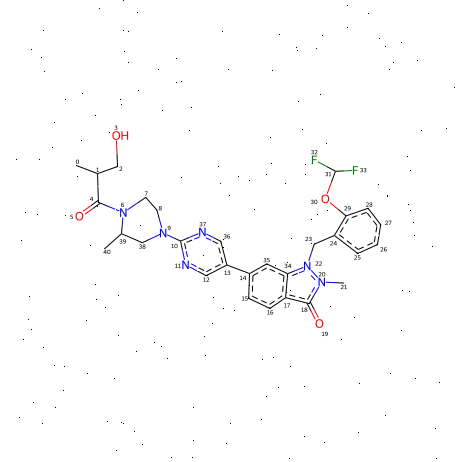 CC(CO)C(=O)N1CCN(c2ncc(-c3ccc4c(=O)n(C)n(Cc5ccccc5OC(F)F)c4c3)cn2)CC1C